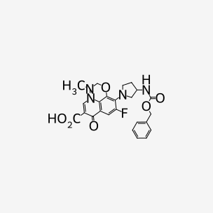 CN1COc2c(N3CCC(NC(=O)OCc4ccccc4)C3)c(F)cc3c(=O)c(C(=O)O)cn1c23